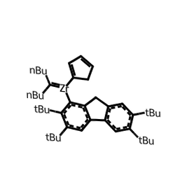 CCCC[C](CCCC)=[Zr]([C]1=CC=CC1)[c]1c2c(cc(C(C)(C)C)c1C(C)(C)C)-c1cc(C(C)(C)C)c(C(C)(C)C)cc1C2